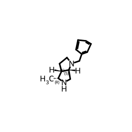 C[C@H]1NC[C@@H]2[C@H]1CCN2Cc1ccccc1